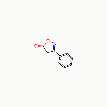 O=C1[CH]C(c2ccccc2)=NO1